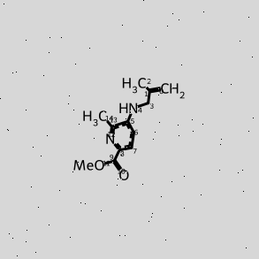 C=C(C)CNc1ccc(C(=O)OC)nc1C